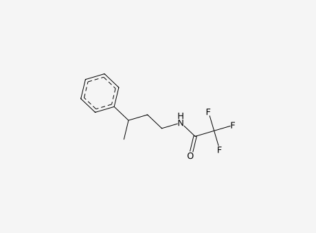 CC(CCNC(=O)C(F)(F)F)c1ccccc1